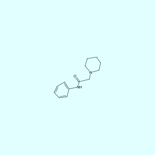 O=C(CN1CC[CH]CC1)Nc1ccccc1